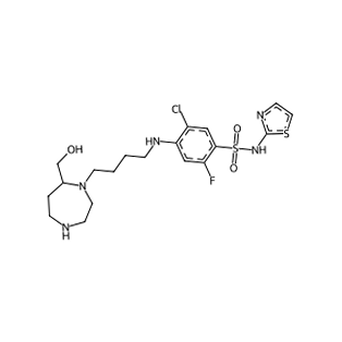 O=S(=O)(Nc1nccs1)c1cc(Cl)c(NCCCCN2CCNCCC2CO)cc1F